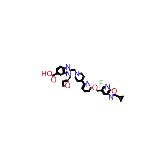 O=C(O)c1ccc2nc(CN3CCC(c4cccc(OCc5cc6nc(C7CC7)oc6nc5F)n4)CC3)n(C[C@@H]3CCO3)c2c1